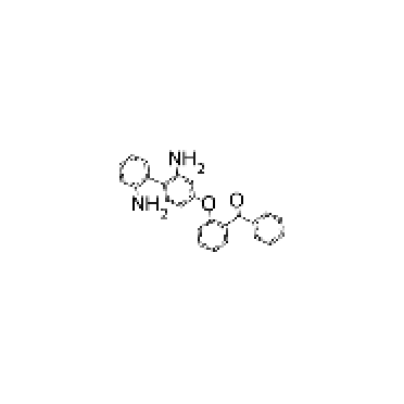 Nc1ccccc1-c1ccc(Oc2ccccc2C(=O)c2ccccc2)cc1N